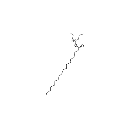 CCCCCCCCCCCCCCCCCC(=O)O[SH](CCC)CCC